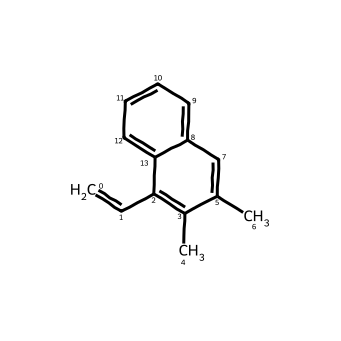 C=Cc1c(C)c(C)cc2ccccc12